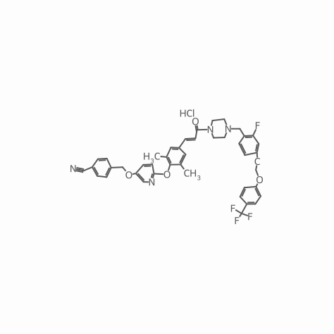 Cc1cc(C=CC(=O)N2CCN(Cc3ccc(CCOc4ccc(C(F)(F)F)cc4)cc3F)CC2)cc(C)c1Oc1ccc(OCc2ccc(C#N)cc2)cn1.Cl